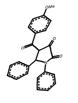 COc1ccc(C(=O)C2C(=O)C(=O)N(c3ccccc3)C2c2ccccc2)cc1